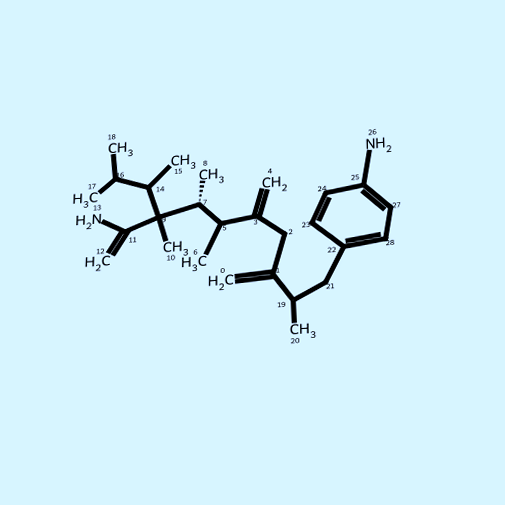 C=C(CC(=C)C(C)[C@@H](C)C(C)(C(=C)N)C(C)C(C)C)C(C)Cc1ccc(N)cc1